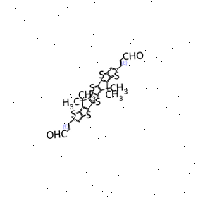 CC1(C)c2c(sc3cc(/C=C/C=O)sc23)-c2sc3c4c(sc3c21)-c1sc2cc(/C=C/C=O)sc2c1C4(C)C